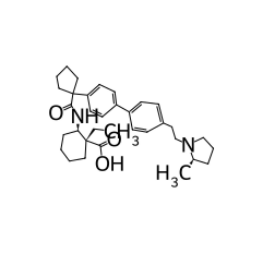 CC[C@@]1(C(=O)O)CCCC[C@H]1NC(=O)C1(c2ccc(-c3ccc(CCN4CCC[C@H]4C)cc3)cc2)CCCC1